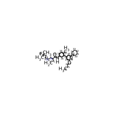 C=C/C(=C\C=N/CC(C)(C)F)C(=O)Nc1ccc(C)c(-c2cc(OCCC)nc(N3CCCCC3)c2)c1